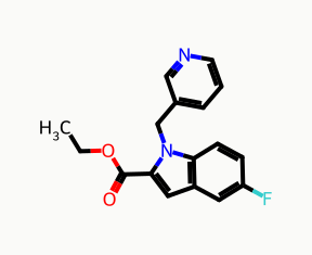 CCOC(=O)c1cc2cc(F)ccc2n1Cc1cccnc1